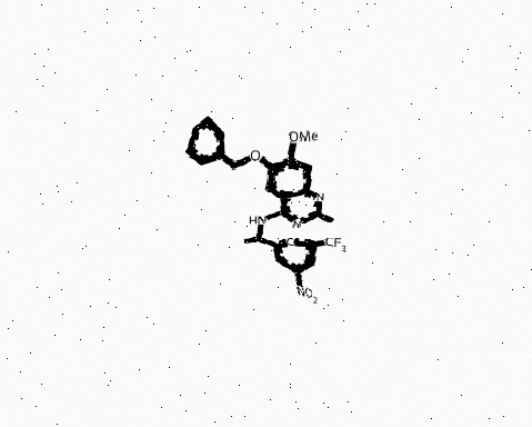 COc1cc2nc(C)nc(NC(C)c3cc([N+](=O)[O-])cc(C(F)(F)F)c3)c2cc1OCc1ccccc1